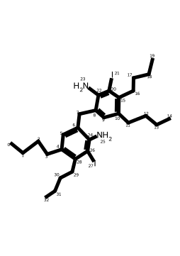 CCCCc1cc(Cc2cc(CCCC)c(CCCC)c(I)c2N)c(N)c(I)c1CCCC